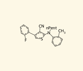 CCCCCN(c1ccccc1C)c1scc(-c2ccccc2F)c1C#N